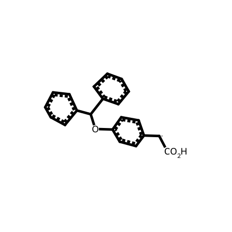 O=C(O)[CH]c1ccc(OC(c2ccccc2)c2ccccc2)cc1